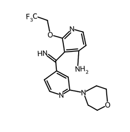 N=C(c1ccnc(N2CCOCC2)c1)c1c(N)ccnc1OCC(F)(F)F